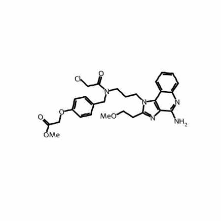 COCCc1nc2c(N)nc3ccccc3c2n1CCCN(Cc1ccc(OCC(=O)OC)cc1)C(=O)CCl